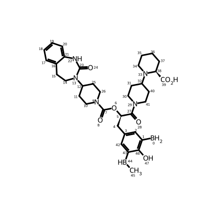 Bc1cc(C[C@@H](OC(=O)N2CCC(N3CCc4ccccc4NC3=O)CC2)C(=O)N2CCC(N3CCCC[C@H]3C(=O)O)CC2)cc(BC)c1O